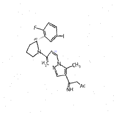 C=C(/C=C\n1ncc(C(=N)CC(C)=O)c1C)N1CCC[C@@H]1c1cc(I)ccc1F